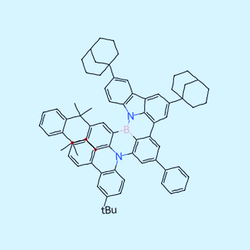 CC(C)(C)c1ccc(N2c3cc4c(cc3B3c5c(cc(-c6ccccc6)cc52)-c2cc(C56CCCC(CCC5)C6)cc5c6cc(C78CCCC(CCC7)C8)ccc6n3c25)C(C)(C)c2ccccc2C4(C)C)c(-c2ccccc2)c1